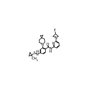 CC1(SNc2ccc(C(=O)Nc3cccc(N4CC(F)C4)n3)c(N3CCC4(CC3)CC4)c2)CC1